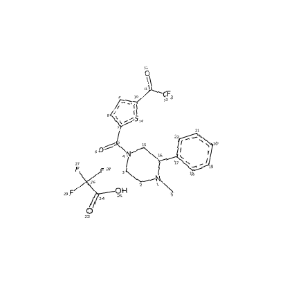 CN1CCN(C(=O)c2ccc(C(=O)C(F)(F)F)s2)CC1c1ccccc1.O=C(O)C(F)(F)F